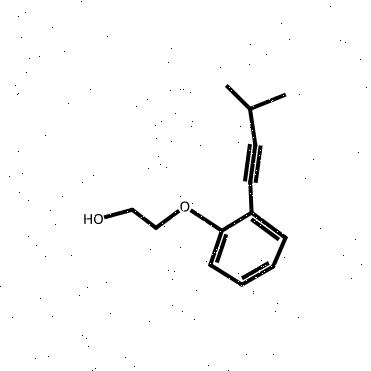 CC(C)C#Cc1ccccc1OCCO